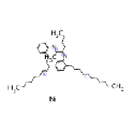 CCCCCC/C=C/CCCc1ccccc1/N=C(CCCC)\C(C)=N\c1ccccc1CCC/C=C/CCCCCC.[Ni]